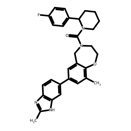 Cc1nc2ccc(-c3cc(C)c4c(c3)CN(C(=O)N3CCCCC3c3ccc(F)cc3)CCO4)cc2[nH]1